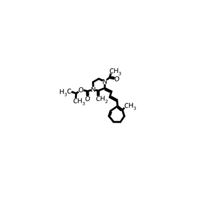 C=C1/C(=C\C=C\C2=C(C)CCCC=C2)N(C(C)=O)CCN1C(=O)OC(C)C